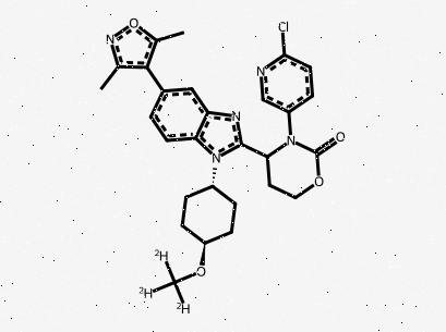 [2H]C([2H])([2H])O[C@H]1CC[C@H](n2c(C3CCOC(=O)N3c3ccc(Cl)nc3)nc3cc(-c4c(C)noc4C)ccc32)CC1